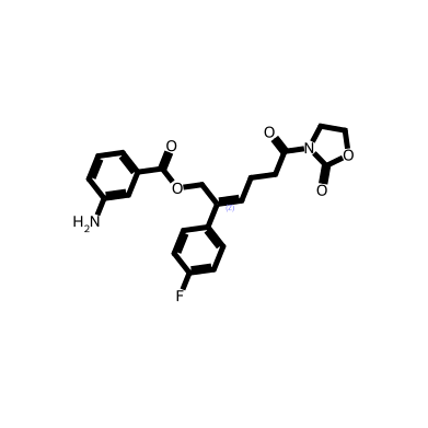 Nc1cccc(C(=O)OC/C(=C\CCC(=O)N2CCOC2=O)c2ccc(F)cc2)c1